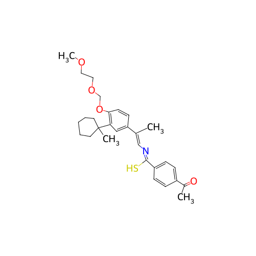 COCCOCOc1ccc(/C(C)=C/N=C(\S)c2ccc(C(C)=O)cc2)cc1C1(C)CCCCC1